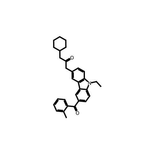 CCn1c2ccc(CC(=O)CC3CCCCC3)cc2c2cc(C(=O)c3ccccc3C)ccc21